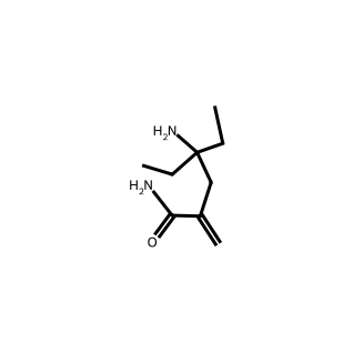 C=C(CC(N)(CC)CC)C(N)=O